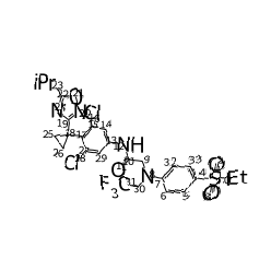 CCS(=O)(=O)c1ccc(N(CC(=O)Nc2cc(Cl)c(C3(c4noc(C(C)C)n4)CC3)c(Cl)c2)CC(F)(F)F)cc1